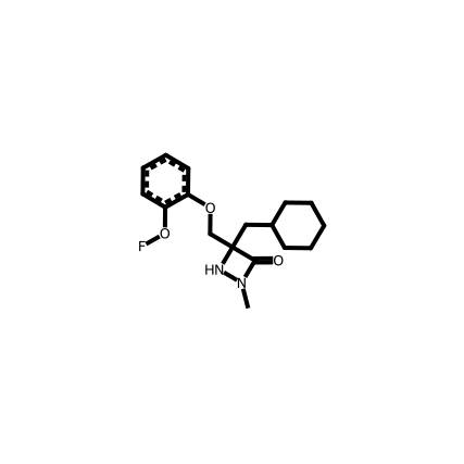 CN1NC(COc2ccccc2OF)(CC2CCCCC2)C1=O